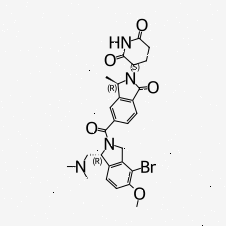 COc1ccc2c(c1Br)CN(C(=O)c1ccc3c(c1)[C@@H](C)N([C@H]1CCC(=O)NC1=O)C3=O)[C@H]2CN(C)C